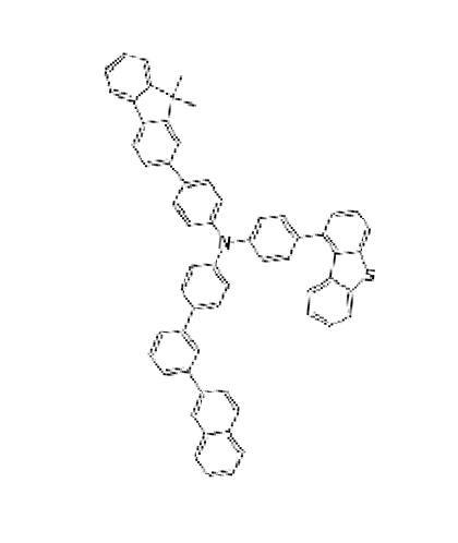 CC1(C)c2ccccc2-c2ccc(-c3ccc(N(c4ccc(-c5cccc(-c6ccc7ccccc7c6)c5)cc4)c4ccc(-c5cccc6sc7ccccc7c56)cc4)cc3)cc21